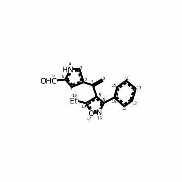 C=C(c1c[nH]c(C=O)c1)c1c(-c2ccccc2)noc1CC